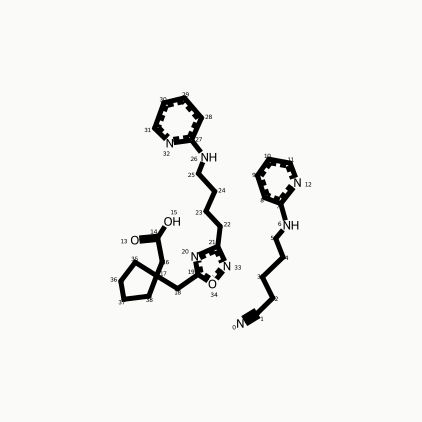 N#CCCCCNc1ccccn1.O=C(O)CC1(Cc2nc(CCCCNc3ccccn3)no2)CCCC1